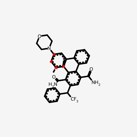 CN(CCN1CCOCC1)C(=O)c1c(C(N)=O)c(C(c2ccccc2)C(F)(F)F)cc(C(N)=O)c1-c1ccccc1-c1ccccn1